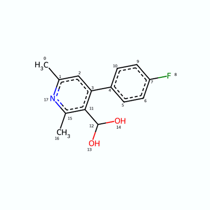 Cc1cc(-c2ccc(F)cc2)c(C(O)O)c(C)n1